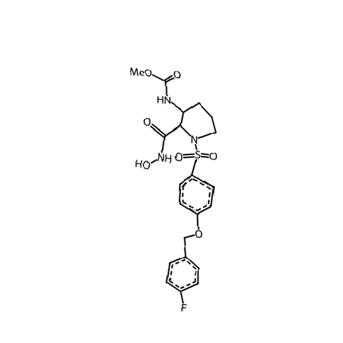 COC(=O)NC1CCCN(S(=O)(=O)c2ccc(OCc3ccc(F)cc3)cc2)C1C(=O)NO